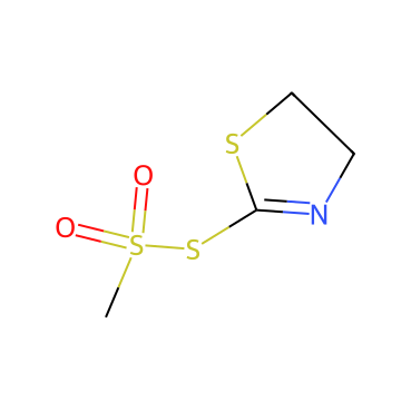 CS(=O)(=O)SC1=NCCS1